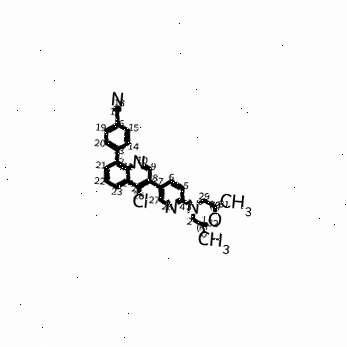 C[C@@H]1CN(c2ccc(-c3cnc4c(-c5ccc(C#N)cc5)cccc4c3Cl)cn2)C[C@H](C)O1